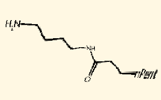 CCCCCCCC(=O)NCCCCN